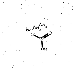 N.N.O=S([O-])O.[Na+]